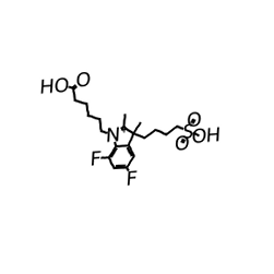 CC1=[N+](CCCCCC(=O)O)c2c(F)cc(F)cc2C1(C)CCCCS(=O)(=O)O